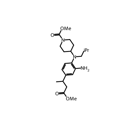 COC(=O)CC(C)c1ccc(N(CC(C)C)C2CCN(C(=O)OC)CC2)c(N)c1